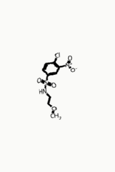 COCCNS(=O)(=O)c1ccc(Cl)c([N+](=O)[O-])c1